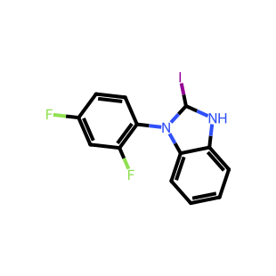 Fc1ccc(N2c3ccccc3NC2I)c(F)c1